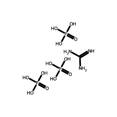 N=C(N)N.O=P(O)(O)O.O=P(O)(O)O.O=P(O)(O)O